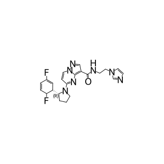 O=C(NCCn1ccnc1)c1cnn2ccc(N3CCC[C@@H]3C3C=C(F)C=CC3F)nc12